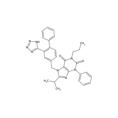 CCCn1c(=O)c2c(nc(C(C)C)n2Cc2ccc(-c3ccccc3)c(-c3nnn[nH]3)c2)n(-c2ccccc2)c1=O